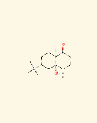 C[C@H]1CCC(=O)[C@]2(C)CC[C@@H](C(C)(C)C)C[C@@]12O